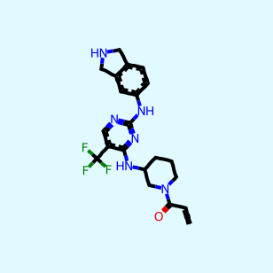 C=CC(=O)N1CCCC(Nc2nc(Nc3ccc4c(c3)CNC4)ncc2C(F)(F)F)C1